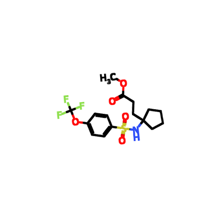 COC(=O)CCC1(NS(=O)(=O)c2ccc(OC(F)(F)F)cc2)CCCC1